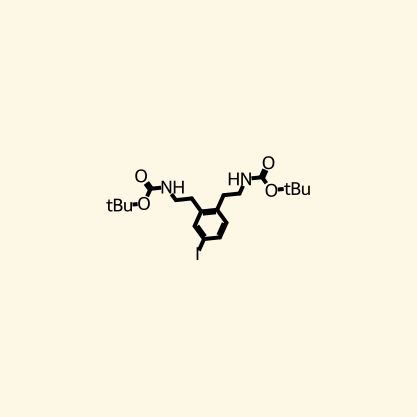 CC(C)(C)OC(=O)NCCc1ccc(I)cc1CCNC(=O)OC(C)(C)C